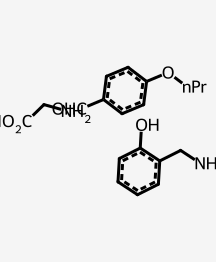 CCCOc1ccc(C=O)cc1.NCC(=O)O.NCc1ccccc1O